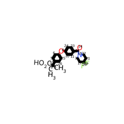 CC(C)(C(=O)O)c1ccc(Oc2ccc(C(=O)N3CCC(F)(F)CC3)cc2)cc1